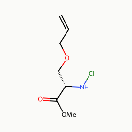 C=CCOC[C@H](NCl)C(=O)OC